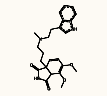 COC1=C(OC)C2C(=O)NC(=O)C2(CCCN(C)CCc2c[nH]c3ccccc23)C=C1